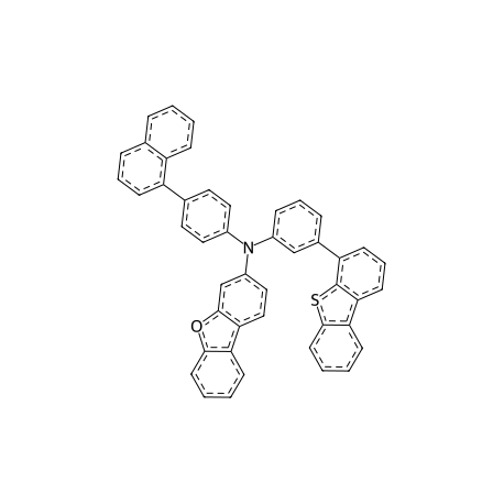 c1cc(-c2cccc3c2sc2ccccc23)cc(N(c2ccc(-c3cccc4ccccc34)cc2)c2ccc3c(c2)oc2ccccc23)c1